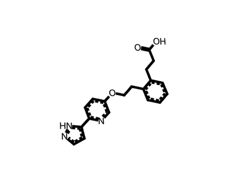 O=C(O)CCc1ccccc1CCOc1ccc(-c2ccn[nH]2)nc1